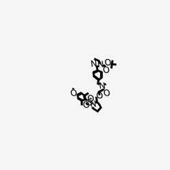 COc1cc(C)c(S(=O)(=O)N2CCCCC2COCC(=O)N(C)Cc2ccc(C3=NCCN3C(=O)OC(C)(C)C)cc2)c(C)c1